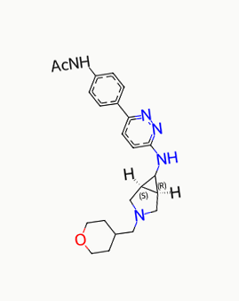 CC(=O)Nc1ccc(-c2ccc(NC3[C@H]4CN(CC5CCOCC5)C[C@@H]34)nn2)cc1